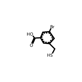 O=C(O)c1cc(Br)cc(CS)c1